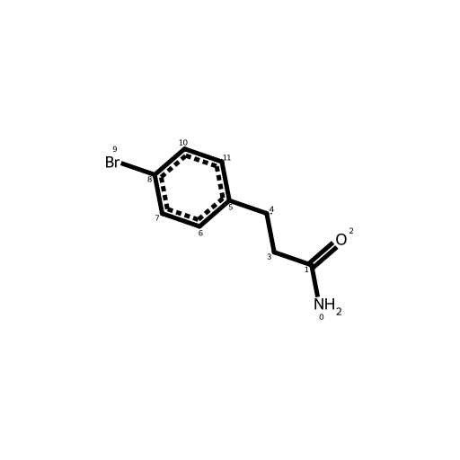 NC(=O)C[CH]c1ccc(Br)cc1